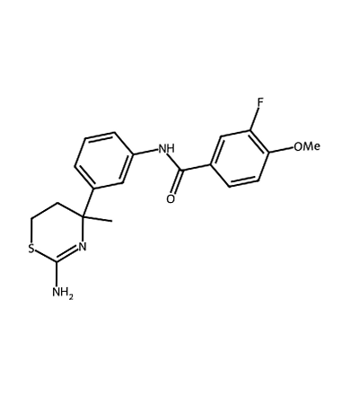 COc1ccc(C(=O)Nc2cccc(C3(C)CCSC(N)=N3)c2)cc1F